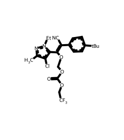 CCn1nc(C)c(Cl)c1/C(OCOC(=O)OCC(F)(F)F)=C(\C#N)c1ccc(C(C)(C)C)cc1